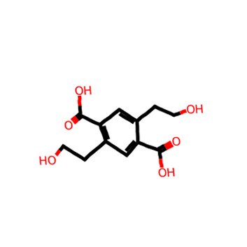 O=C(O)c1cc(CCO)c(C(=O)O)cc1CCO